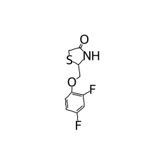 O=C1CSC(COc2ccc(F)cc2F)N1